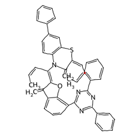 C=C1/C(=C\C=C/C)Sc2cc(-c3ccccc3)ccc2N1C(/C=C\C)=c1\oc2c(-c3nc(-c4ccccc4)nc(-c4ccccc4)n3)cccc2c1=C